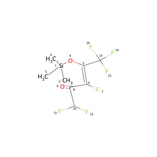 C[Si](C)(C)O/C(=C(/F)C(=O)C(F)F)C(F)(F)F